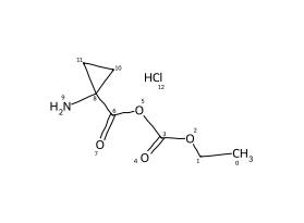 CCOC(=O)OC(=O)C1(N)CC1.Cl